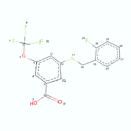 O=C(O)c1cc(OC(F)(F)F)cc(SCc2ccccc2F)c1